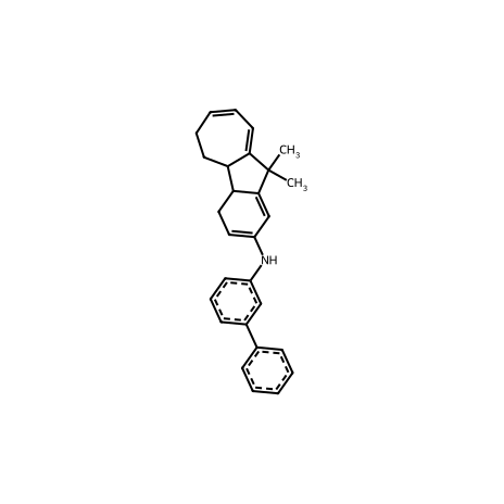 CC1(C)C2=CC(Nc3cccc(-c4ccccc4)c3)=CCC2C2CCC=CC=C21